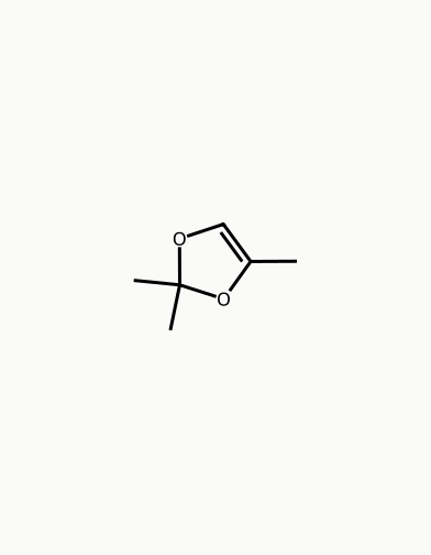 CC1=COC(C)(C)O1